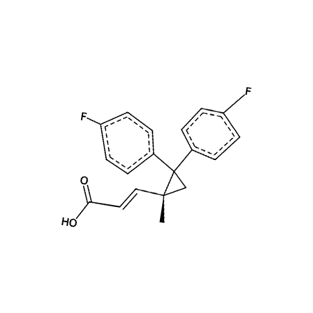 C[C@]1(/C=C/C(=O)O)CC1(c1ccc(F)cc1)c1ccc(F)cc1